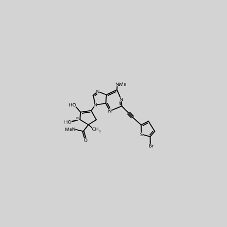 CNC(=O)C1(C)CC(n2cnc3c(NC)nc(C#Cc4ccc(Br)s4)nc32)=C(O)[C@@H]1O